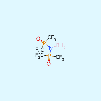 BN(P(=O)(C(F)(F)F)C(F)(F)F)P(=O)(C(F)(F)F)C(F)(F)F